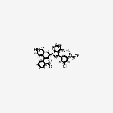 CC(c1oc(=O)c2ccccc2c1C1=CCNCC1)n1nc(-c2cc(Cl)cc(OC=O)c2)c2c(N)ncnc21